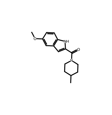 COc1ccc2[nH]c(C(=O)N3CCC(C)CC3)cc2c1